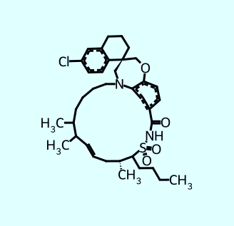 CCCCC1[C@H](C)C/C=C/C(C)C(C)CCCCN2C[C@@]3(CCCc4cc(Cl)ccc43)COc3ccc(cc32)C(=O)NS1(=O)=O